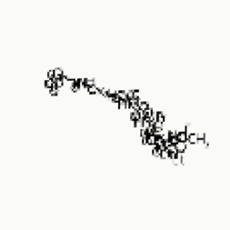 CCN(CC)[C@H]1CCc2c(C)c(F)cc3nc4c(c1c23)Cn1c-4cc2c(c1=O)COC(=O)[C@@]2(CC)OC(=O)[C@@H](NC(=O)[C@@H]1CCCN1C(=O)[C@H](CC(=O)O)NC(=O)CCOCCOCCOCCNC(=O)CCCC(=O)ON1C(=O)CCC1=O)C(C)C